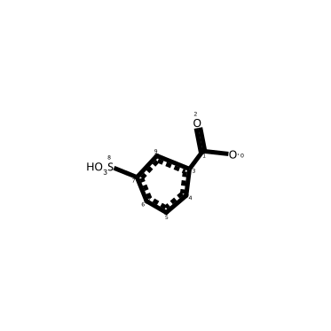 [O]C(=O)c1cccc(S(=O)(=O)O)c1